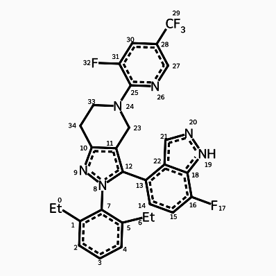 CCc1cccc(CC)c1-n1nc2c(c1-c1ccc(F)c3[nH]ncc13)CN(c1ncc(C(F)(F)F)cc1F)CC2